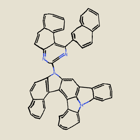 c1ccc2cc(-c3nc(-n4c5ccc6ccccc6c5c5c6c7ccccc7n7c8ccccc8c(cc54)c67)nc4ccc5ccccc5c34)ccc2c1